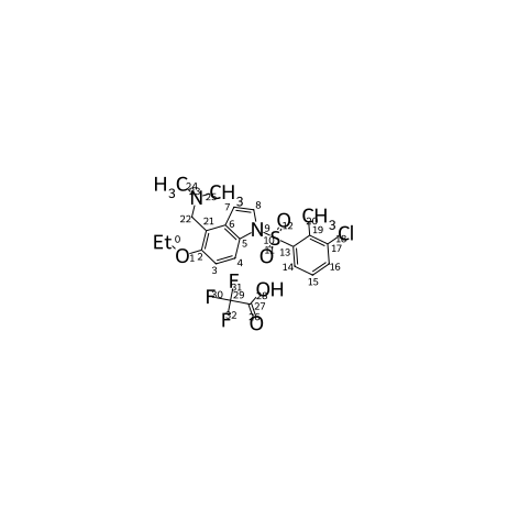 CCOc1ccc2c(ccn2S(=O)(=O)c2cccc(Cl)c2C)c1CN(C)C.O=C(O)C(F)(F)F